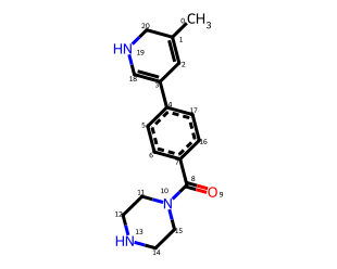 CC1=CC(c2ccc(C(=O)N3CCNCC3)cc2)=CNC1